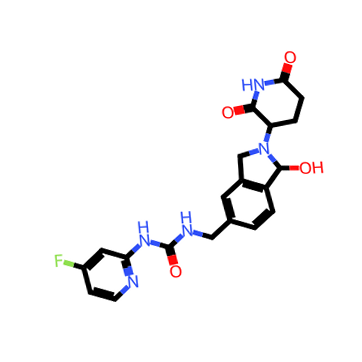 O=C1CCC(N2Cc3cc(CNC(=O)Nc4cc(F)ccn4)ccc3C2O)C(=O)N1